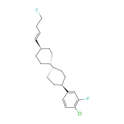 FCCC=C[C@H]1CC[C@H]([C@H]2CC[C@H](c3ccc(Cl)c(F)c3)CC2)CC1